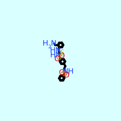 NCc1ccccc1NC(=S)NS(=O)(=O)c1ccc(CCNS(=O)(=O)c2ccccc2)cc1